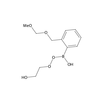 COCOCc1ccccc1B(O)OOCCO